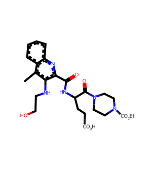 CCOC(=O)N1CCN(C(=O)C(CCC(=O)O)NC(=O)c2nc3ccccc3c(C)c2NCCO)CC1